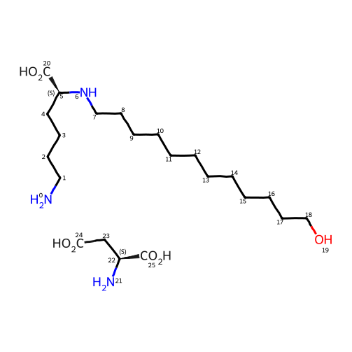 NCCCC[C@H](NCCCCCCCCCCCCO)C(=O)O.N[C@@H](CC(=O)O)C(=O)O